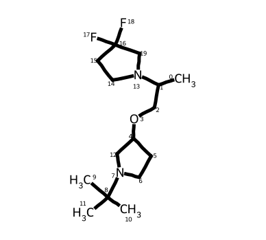 CC(COC1CCN(C(C)(C)C)C1)N1CCC(F)(F)C1